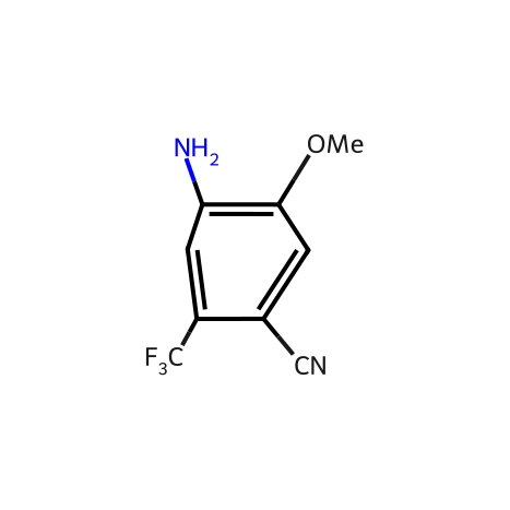 COc1cc(C#N)c(C(F)(F)F)cc1N